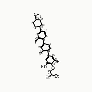 CCc1cc(-c2ccc(-c3ccc(C4CCC(C)CC4)cc3F)cc2F)cc(CC)c1OCC(CC)CC